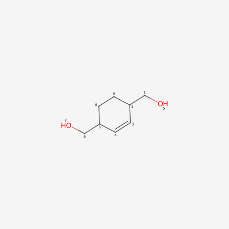 OCC1C=CC(CO)CC1